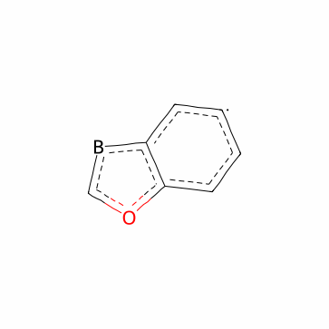 b1coc2cc[c]cc12